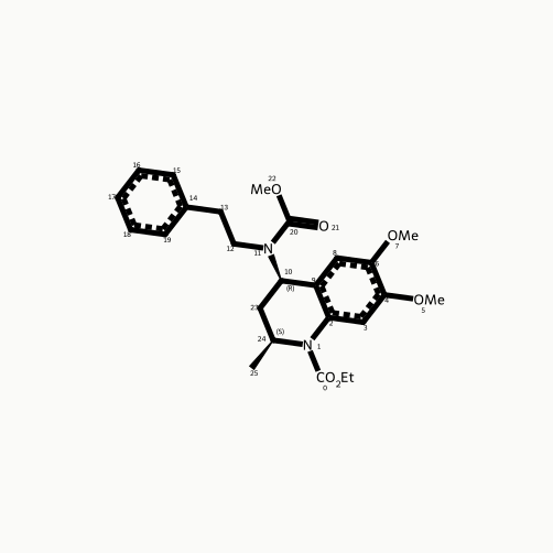 CCOC(=O)N1c2cc(OC)c(OC)cc2[C@H](N(CCc2ccccc2)C(=O)OC)C[C@@H]1C